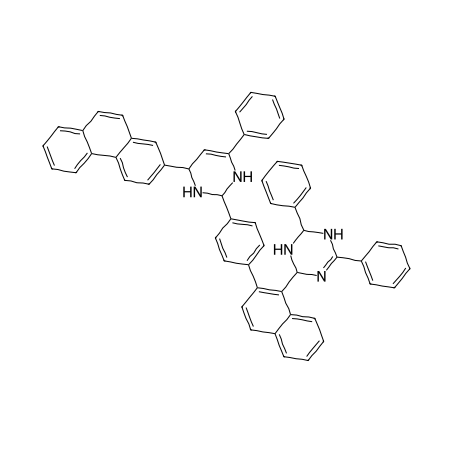 C1=C(c2ccccc2)NC(c2ccc(-c3ccc4ccccc4c3C3N=C(c4ccccc4)NC(c4ccccc4)N3)cc2)NC1c1ccc2c(ccc3ccccc32)c1